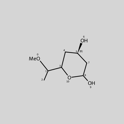 COC(C)C1C[C@@H](O)CC(O)O1